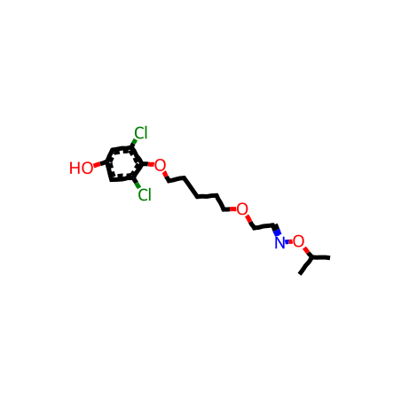 CC(C)ON=CCOCCCCCOc1c(Cl)cc(O)cc1Cl